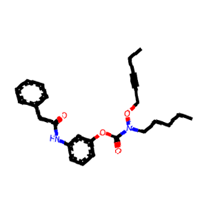 CCC#CCON(CCCCC)C(=O)Oc1cccc(NC(=O)Cc2ccccc2)c1